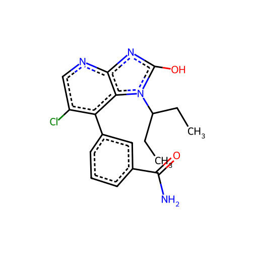 CCC(CC)n1c(O)nc2ncc(Cl)c(-c3cccc(C(N)=O)c3)c21